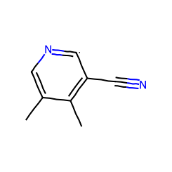 Cc1cn[c]c(C#N)c1C